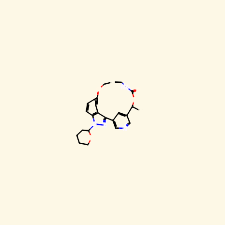 CC1OC(=O)NCCCOc2ccc3c(c2)c(nn3C2CCCCO2)-c2cncc1c2